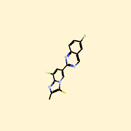 Cc1nc2c(F)cc(-c3ncc4cc(Cl)ccc4n3)cn2c1F